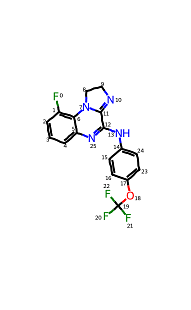 Fc1cccc2c1N1CCN=C1C(Nc1ccc(OC(F)(F)F)cc1)=N2